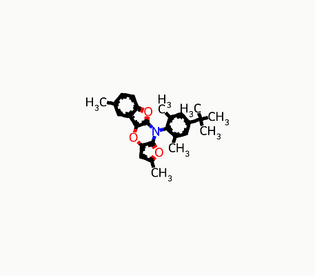 Cc1ccc2oc3c(c2c1)Oc1cc(C)oc1N3c1c(C)cc(C(C)(C)C)cc1C